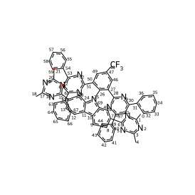 Cc1nc(C)nc(-c2ccc3c4ccc(-c5nc(C)nc(C)n5)cc4n(-c4c(-c5nc(-c6ccccc6)cc(-c6ccccc6)n5)cc(C(F)(F)F)cc4-c4nc(-c5ccccc5)cc(-c5ccccc5)n4)c3c2)n1